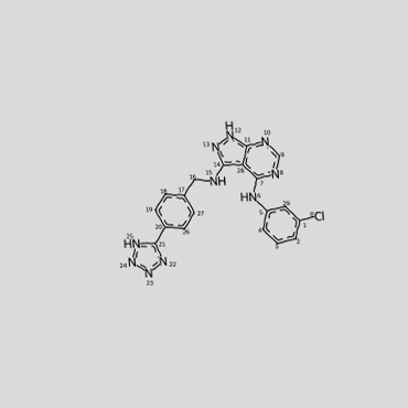 Clc1cccc(Nc2ncnc3[nH]nc(NCc4ccc(-c5nnn[nH]5)cc4)c23)c1